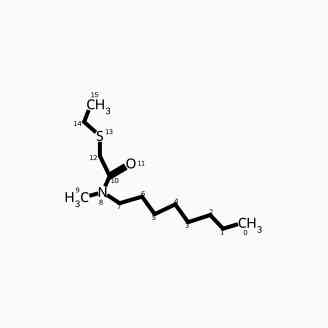 CCCCCCCCN(C)C(=O)CSCC